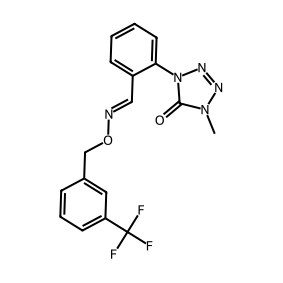 Cn1nnn(-c2ccccc2C=NOCc2cccc(C(F)(F)F)c2)c1=O